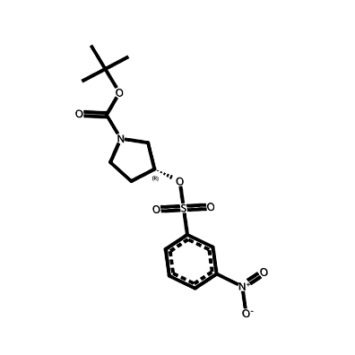 CC(C)(C)OC(=O)N1CC[C@@H](OS(=O)(=O)c2cccc([N+](=O)[O-])c2)C1